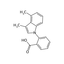 Cc1cccc2c1c(C)cn2-c1ccccc1C(=O)O